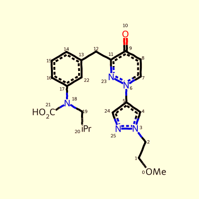 COCCn1cc(-n2ccc(=O)c(Cc3cccc(N(CC(C)C)C(=O)O)c3)n2)cn1